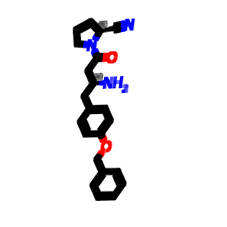 N#C[C@@H]1C=CCN1C(=O)C[C@@H](N)Cc1ccc(OCc2ccccc2)cc1